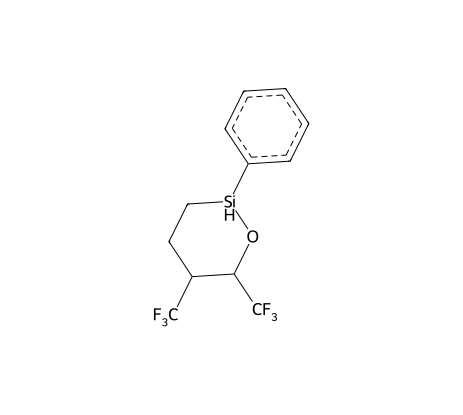 FC(F)(F)C1CC[SiH](c2ccccc2)OC1C(F)(F)F